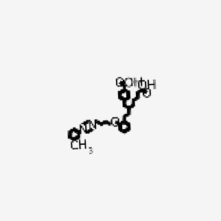 Cc1cccc(N2CCN(CCCCOc3ccccc3CCC(CCCCC(=O)O)Cc3ccc(C(=O)O)cc3)CC2)c1